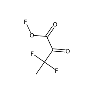 CC(F)(F)C(=O)C(=O)OF